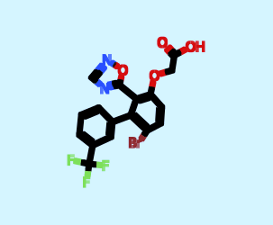 O=C(O)COc1ccc(Br)c(-c2cccc(C(F)(F)F)c2)c1-c1ncno1